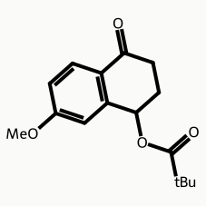 COc1ccc2c(c1)C(OC(=O)C(C)(C)C)CCC2=O